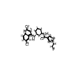 O=C(N[C@@H]1CCC[C@H](Nc2cc(C(F)(F)F)nc3ccc(Cl)cc23)C1)c1cnn(CCF)c1